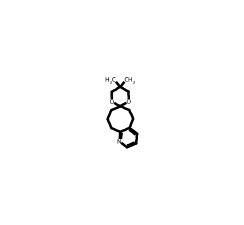 CC1(C)COC2(CCCc3nc[c]cc3CC2)OC1